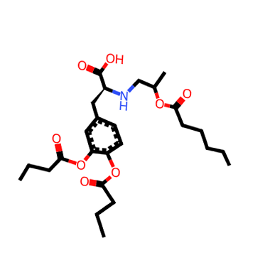 CCCCCC(=O)OC(C)CN[C@@H](Cc1ccc(OC(=O)CCC)c(OC(=O)CCC)c1)C(=O)O